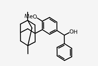 COc1ccc(C(O)c2ccccc2)cc1C12CC3CC(C)(CC(C)(C3)C1)C2